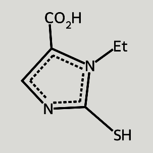 CCn1c(C(=O)O)cnc1S